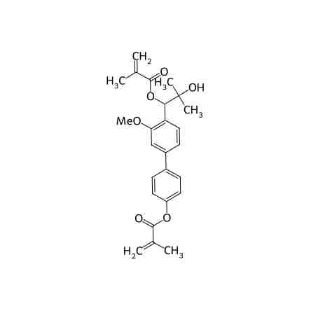 C=C(C)C(=O)Oc1ccc(-c2ccc(C(OC(=O)C(=C)C)C(C)(C)O)c(OC)c2)cc1